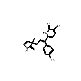 CC1(C/C=C(\c2ccc(C(C)(C)C)cc2)c2ccc(Cl)c(=O)[nH]2)C=NNC1=O